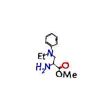 CCN(CC(N)C(=O)OC)c1ccccc1